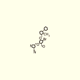 Cc1c(COc2cc(OCc3cncc(C#N)c3)c(C=O)cc2Br)cccc1-c1ccccc1